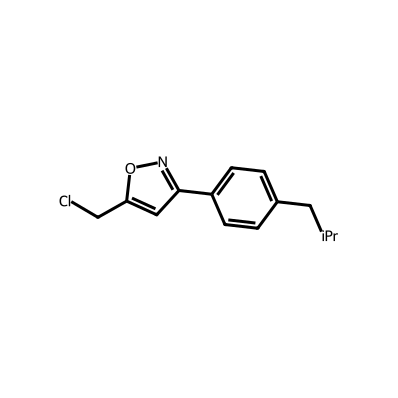 CC(C)Cc1ccc(-c2cc(CCl)on2)cc1